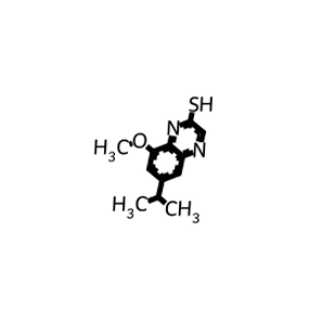 COc1cc(C(C)C)cc2ncc(S)nc12